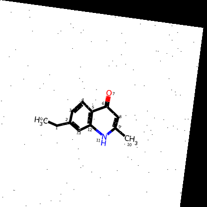 CCc1ccc2c(=O)cc(C)[nH]c2c1